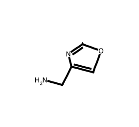 NCc1co[c]n1